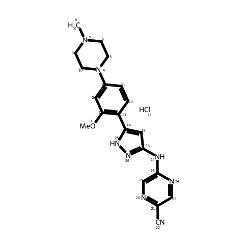 COc1cc(N2CCN(C)CC2)ccc1-c1cc(Nc2cnc(C#N)cn2)n[nH]1.Cl